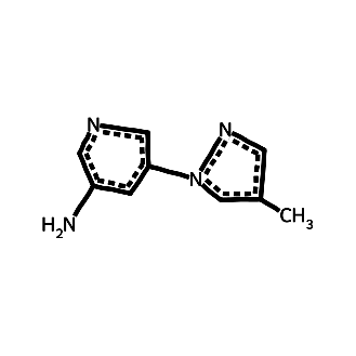 Cc1cnn(-c2cncc(N)c2)c1